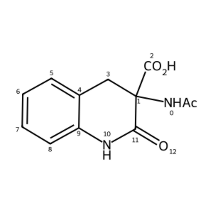 CC(=O)NC1(C(=O)O)Cc2ccccc2NC1=O